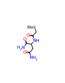 CSCC(=O)NC(CC(N)=O)C(N)=O